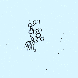 Nc1nccc2c1nc(Sc1cc3c(cc1Cl)OCCO3)n2CCC1CCN(C(=O)CO)CC1